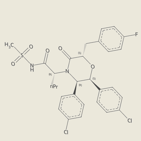 CCC[C@H](C(=O)NS(C)(=O)=O)N1C(=O)[C@H](Cc2ccc(F)cc2)O[C@@H](c2ccc(Cl)cc2)[C@H]1c1ccc(Cl)cc1